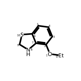 CCOc1cccc2c1NCS2